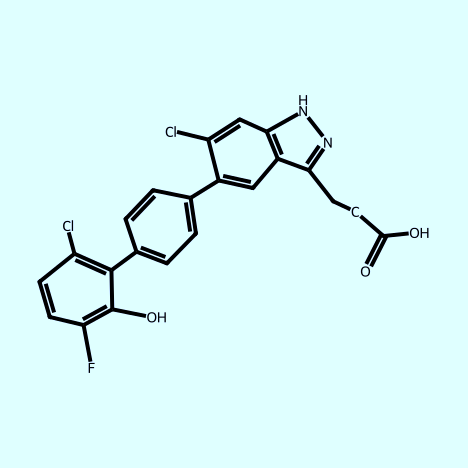 O=C(O)CCc1n[nH]c2cc(Cl)c(-c3ccc(-c4c(Cl)ccc(F)c4O)cc3)cc12